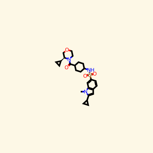 Cn1c(C2CC2)cc2ccc(S(=O)(=O)NC3CCC(C(=O)N4CCOC[C@@H]4C4CC4)CC3)cc21